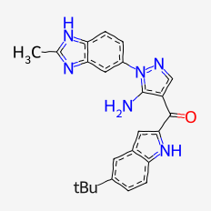 Cc1nc2cc(-n3ncc(C(=O)c4cc5cc(C(C)(C)C)ccc5[nH]4)c3N)ccc2[nH]1